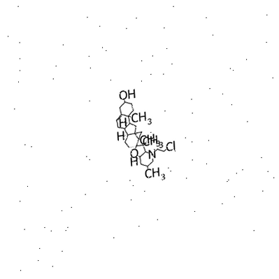 CC1C[C@H]2O[C@]3(CC[C@H]4C5CC=C6CC(O)CCC6(C)[C@H]5CC45C[C@]53C)[C@H](C)C2N(CCCl)C1